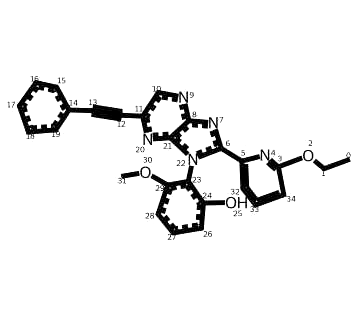 CCOC1=NC(c2nc3ncc(C#Cc4ccccc4)nc3n2-c2c(O)cccc2OC)=C=C=C1